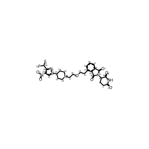 O=C1CCC(N2C(=O)c3cccc(CCOCCN4CCC(n5cc([N+](=O)[O-])c(C(F)F)n5)CC4)c3C2=O)C(=O)N1